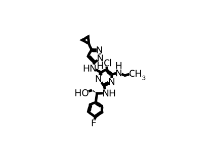 CCNc1nc(N[C@@H](CO)c2ccc(F)cc2)nc(Nc2cc(C3CC3)n[nH]2)c1Cl